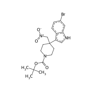 CC(C)(C)OC(=O)N1CCC(C[N+](=O)[O-])(c2c[nH]c3cc(Br)ccc23)CC1